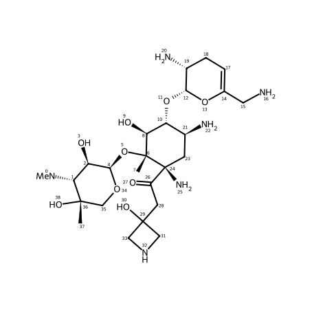 CN[C@@H]1[C@@H](O)[C@@H](O[C@]2(C)[C@@H](O)[C@H](O[C@H]3OC(CN)=CC[C@H]3N)[C@@H](N)C[C@]2(N)C(=O)CC2(O)CNC2)OC[C@]1(C)O